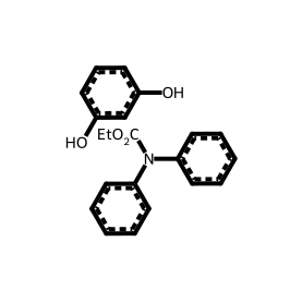 CCOC(=O)N(c1ccccc1)c1ccccc1.Oc1cccc(O)c1